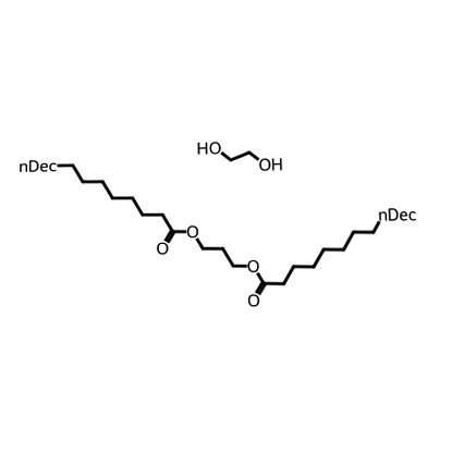 CCCCCCCCCCCCCCCCCC(=O)OCCCOC(=O)CCCCCCCCCCCCCCCCC.OCCO